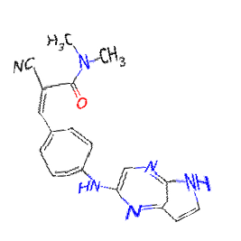 CN(C)C(=O)C(C#N)=Cc1ccc(Nc2cnc3[nH]ccc3n2)cc1